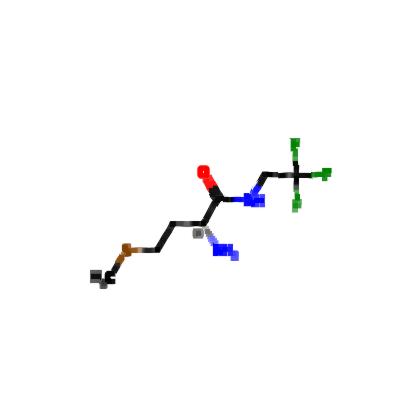 CSCC[C@@H](N)C(=O)NCC(F)(F)F